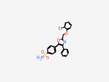 NS(=O)(=O)c1ccc(-c2oc(COc3ccccc3Cl)nc2-c2ccccc2)cc1